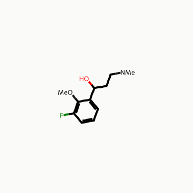 CNCCC(O)c1cccc(F)c1OC